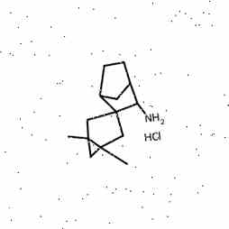 CC12CC3(CC1(C)C2)C1CCC(C1)C3N.Cl